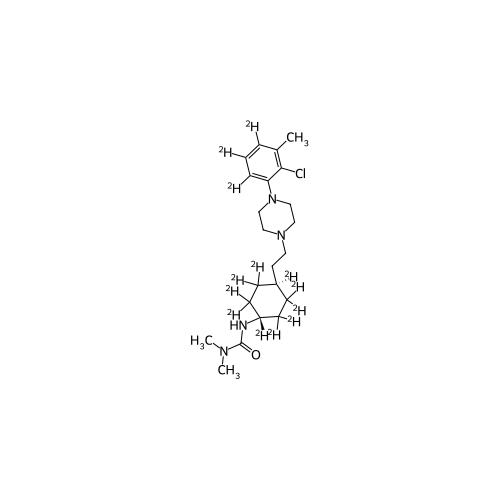 [2H]c1c([2H])c(C)c(Cl)c(N2CCN(CC[C@]3([2H])C([2H])([2H])C([2H])([2H])[C@@]([2H])(NC(=O)N(C)C)C([2H])([2H])C3([2H])[2H])CC2)c1[2H]